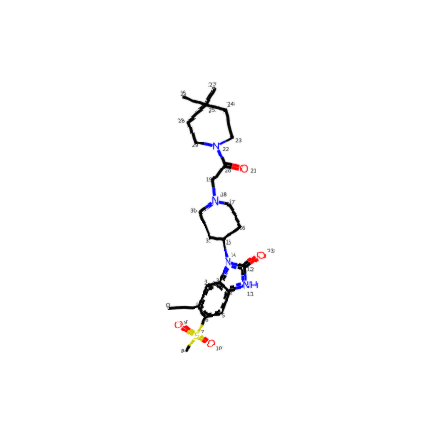 Cc1cc2c(cc1S(C)(=O)=O)[nH]c(=O)n2C1CCN(CC(=O)N2CCC(C)(C)CC2)CC1